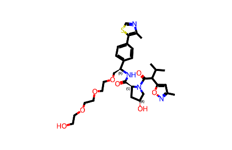 Cc1cc(C(C(=O)N2C[C@H](O)C[C@H]2C(=O)N[C@@H](COCCOCCOCCO)c2ccc(-c3scnc3C)cc2)C(C)C)on1